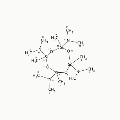 CN(C)[Si]1(C)O[Si](C)(N(C)C)O[Si](C)(N(C)C)O[Si](C)(N(C)C)O1